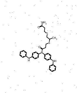 CC(CSCCC(N)=O)SCCC(=O)N(c1ccc(Nc2ccccc2)cc1)c1ccc(Nc2ccccc2)cc1